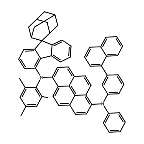 Cc1cc(C)c(N(c2cccc3c2-c2ccccc2C32C3CC4CC(C3)CC2C4)c2ccc3ccc4c(N(c5ccccc5)c5cccc(-c6cccc7ccccc67)c5)ccc5ccc2c3c54)c(C)c1